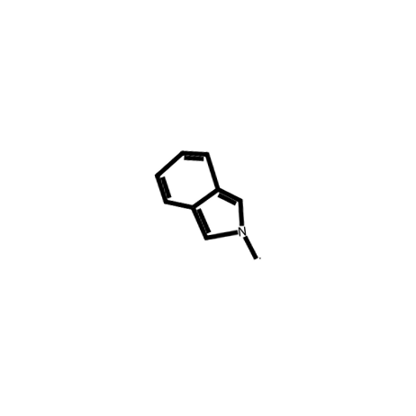 [CH2]n1cc2ccccc2c1